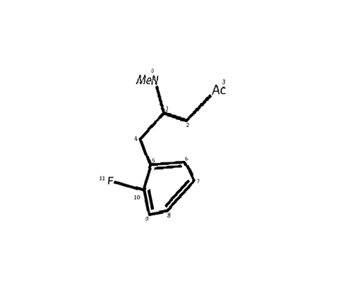 CNC(CC(C)=O)Cc1ccccc1F